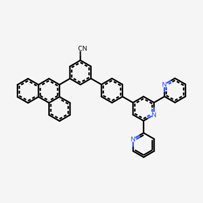 N#Cc1cc(-c2ccc(-c3cc(C4=NC=C=C=C4)nc(-c4ccccn4)c3)cc2)cc(-c2cc3ccccc3c3ccccc23)c1